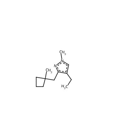 CCc1cn(C)nc1CC1(C)CCC1